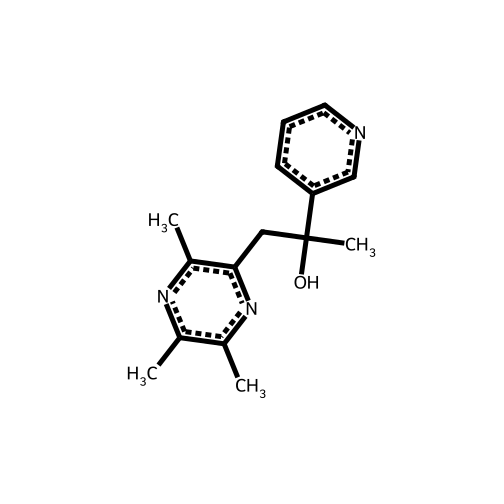 Cc1nc(C)c(CC(C)(O)c2cccnc2)nc1C